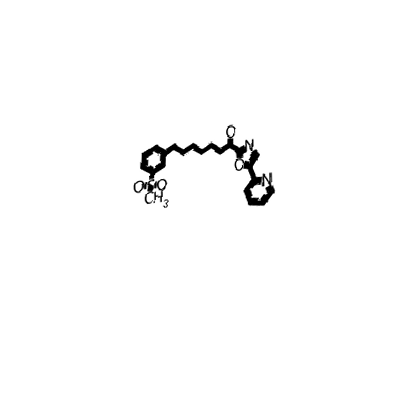 CS(=O)(=O)c1cccc(CCCCCCC(=O)c2ncc(-c3ccccn3)o2)c1